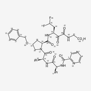 CC(C)[C@H](NC(=O)c1cnccn1)C(=O)N[C@H](C(=O)N1C[C@H](OCc2ccccc2)C[C@H]1C(=O)N[C@@H](CC(F)F)C(=O)C(=O)NCC(=O)O)C(C)C